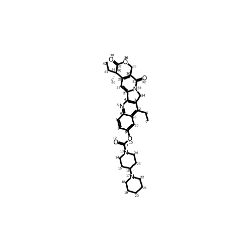 CCc1c2c(nc3ccc(OC(=O)N4CCC(N5CCCCC5)CC4)cc13)-c1cc3c(c(=O)n1C2)COC(=O)[C@]3(C)CC